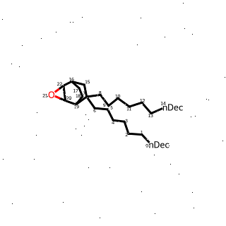 CCCCCCCCCCCCCCCCC1(CCCCCCCCCCCCCCCC)CC2CC[C]1C1OC21